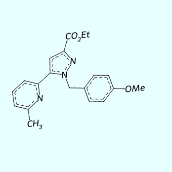 CCOC(=O)c1cc(-c2cccc(C)n2)n(Cc2ccc(OC)cc2)n1